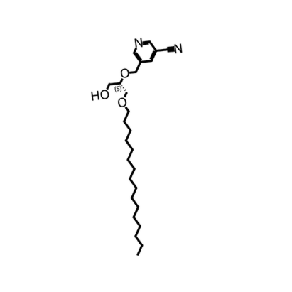 CCCCCCCCCCCCCCCCOC[C@H](CO)OCc1cncc(C#N)c1